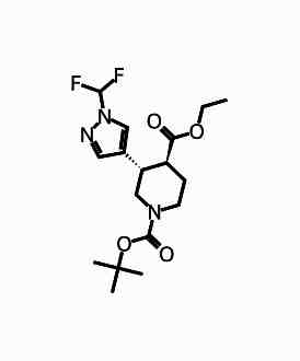 CCOC(=O)[C@H]1CCN(C(=O)OC(C)(C)C)C[C@@H]1c1cnn(C(F)F)c1